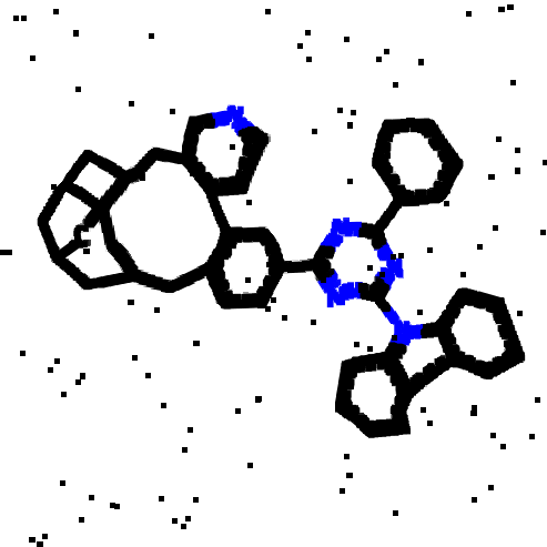 c1ccc(-c2nc(-c3ccc4c(c3)-c3ccncc3CC3CC5CC6CC(C4)CC35C6)nc(-n3c4ccccc4c4ccccc43)n2)cc1